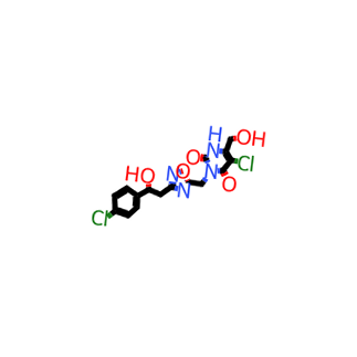 O=c1[nH]c(CO)c(Cl)c(=O)n1Cc1nc(CC(O)c2ccc(Cl)cc2)no1